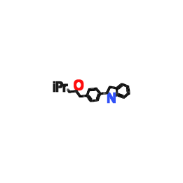 CC(C)CC(=O)Cc1ccc(C2=Nc3ccccc3C2)cc1